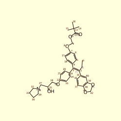 CC/C(=C(\c1ccc(OCOC(=O)C(C)(C)C)cc1)c1ccc(OCC(O)CN2CCCC2)cc1)c1ccc2c(c1)OCO2